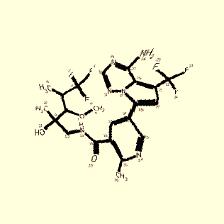 COC(C(C)C(F)(F)F)C(C)(O)CNC(=O)c1cc(-c2cc(C(F)(F)F)c3c(N)ncnn23)cnc1C